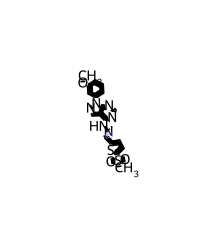 COc1cccc(-n2ncc3c(N/N=C/c4ccc(S(C)(=O)=O)s4)ncnc32)c1